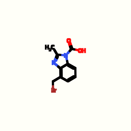 Cc1nc2c(CBr)cccc2n1C(=O)O